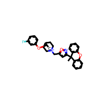 CC1(c2cc(C[N+]34CCC(CC3)C(Oc3cccc(F)c3)C4)on2)c2ccccc2Oc2ccccc21